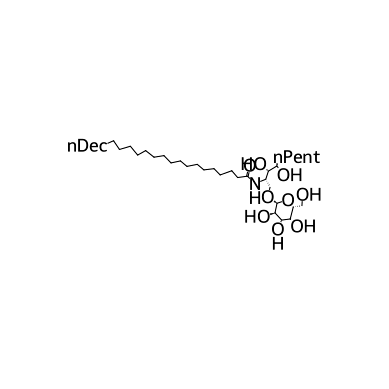 CCCCCCCCCCCCCCCCCCCCCCCCCCC(=O)N[C@@H](CO[C@H]1O[C@H](CO)[C@H](O)[C@H](O)[C@H]1O)[C@H](O)[C@H](O)CCCCC